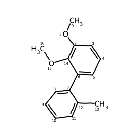 COc1cccc(-c2ccccc2C)c1OC